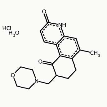 Cc1cc2[nH]c(=O)ccc2c2c1CCC(CN1CCOCC1)C2=O.Cl.O